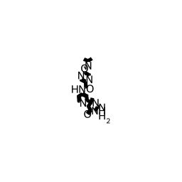 CC(C)=NOc1cnc(C(=O)Nc2ccnc(C3(C)CC(=O)NC(N)=N3)c2)cn1